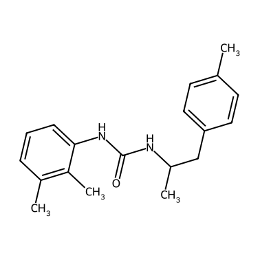 Cc1ccc(CC(C)NC(=O)Nc2cccc(C)c2C)cc1